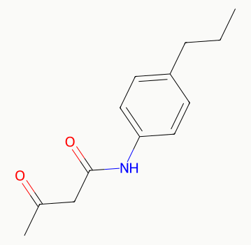 CCCc1ccc(NC(=O)CC(C)=O)cc1